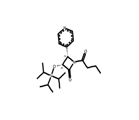 CCCC(=O)N1C(=O)[C@H](O[Si](C(C)C)(C(C)C)C(C)C)[C@@H]1c1ccncc1